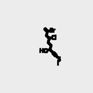 C=C(Br)C[C@H](Cl)CCC(O)C#CSI